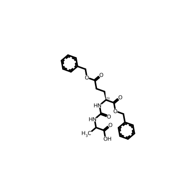 CC(NC(=O)N[C@@H](CCC(=O)OCc1ccccc1)C(=O)OCc1ccccc1)C(=O)O